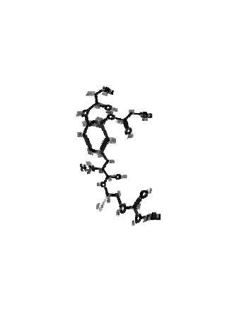 CCCCOC(=O)OC[C@H](C)OC(=O)[C@@H](N)Cc1ccc(OC(=O)CC(C)(C)C)c(OC(=O)CC(C)(C)C)c1